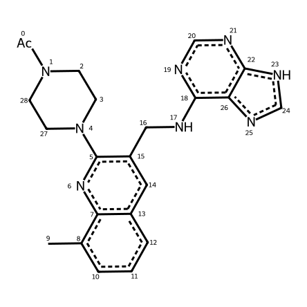 CC(=O)N1CCN(c2nc3c(C)cccc3cc2CNc2ncnc3[nH]cnc23)CC1